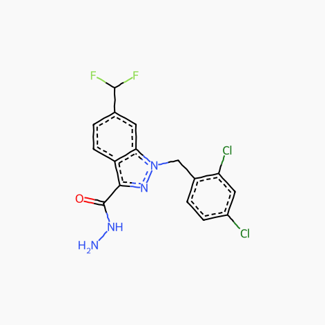 NNC(=O)c1nn(Cc2ccc(Cl)cc2Cl)c2cc(C(F)F)ccc12